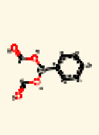 O=COB(OC=O)c1ccccc1